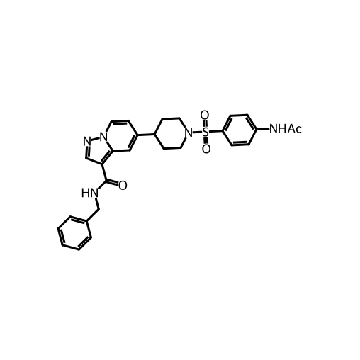 CC(=O)Nc1ccc(S(=O)(=O)N2CCC(c3ccn4ncc(C(=O)NCc5ccccc5)c4c3)CC2)cc1